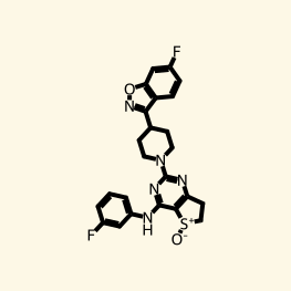 [O-][S+]1CCc2nc(N3CCC(c4noc5cc(F)ccc45)CC3)nc(Nc3cccc(F)c3)c21